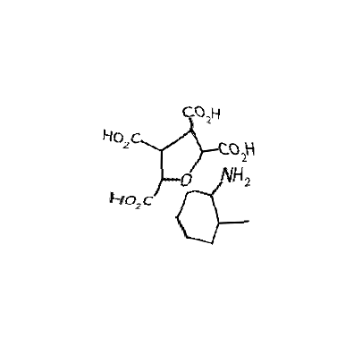 CC1CCCCC1N.O=C(O)C1OC(C(=O)O)C(C(=O)O)C1C(=O)O